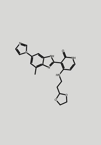 Cc1cc(-n2ccnc2)cc2[nH]c(-c3c(NCCC4OCCO4)cc[nH]c3=O)nc12